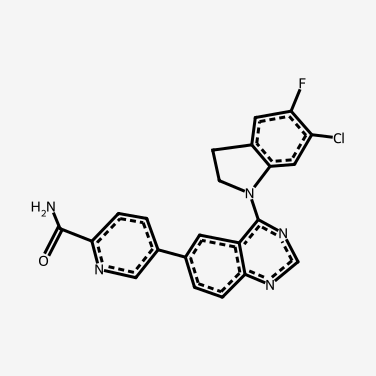 NC(=O)c1ccc(-c2ccc3ncnc(N4CCc5cc(F)c(Cl)cc54)c3c2)cn1